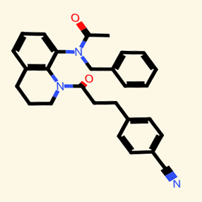 CC(=O)N(Cc1ccccc1)c1cccc2c1N(C(=O)CCc1ccc(C#N)cc1)CCC2